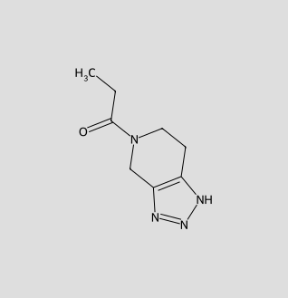 CCC(=O)N1CCc2[nH]nnc2C1